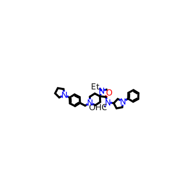 CCN(C)C1(C(=O)N(C=O)C2CCN(c3ccccc3)C2)CCN(Cc2ccc(N3CCCC3)cc2)CC1